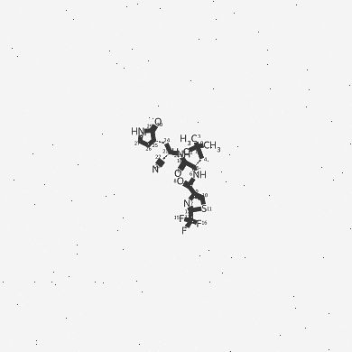 CC(C)(C)C[C@H](NC(=O)c1csc(C(F)(F)F)n1)C(=O)N[C@H](C#N)C[C@@H]1CCNC1=O